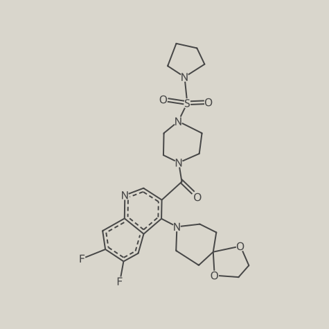 O=C(c1cnc2cc(F)c(F)cc2c1N1CCC2(CC1)OCCO2)N1CCN(S(=O)(=O)N2CCCC2)CC1